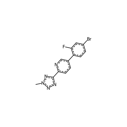 Cn1nnc(-c2ccc(-c3ccc(Br)cc3F)cn2)n1